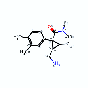 CCN(C(=O)[C@]1(c2ccc(C)c(C)c2)C(C)[C@@H]1CN)C(C)(C)C